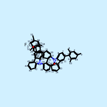 Cc1cc(C)c(-c2ccc3c(c2)c2ccccc2n3-c2ccc(-c3ccc(C(F)(F)F)cc3C(F)(F)F)cc2-c2c(C#N)cccc2-n2c3ccccc3c3cc(-c4c(C)cc(C)cc4C)ccc32)c(C)c1